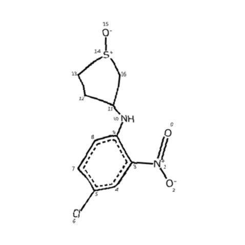 O=[N+]([O-])c1cc(Cl)ccc1NC1CC[S+]([O-])C1